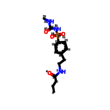 CCCC(=O)NCCc1ccc(S(=O)(=O)NC(=O)NC)cc1